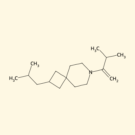 C=C(C(C)C)N1CCC2(CC1)CC(CC(C)C)C2